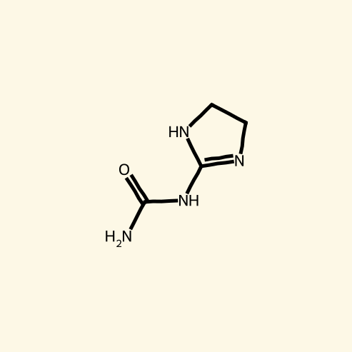 NC(=O)NC1=NCCN1